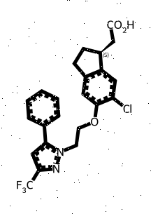 O=C(O)C[C@@H]1CCc2cc(OCCn3nc(C(F)(F)F)cc3-c3ccccc3)c(Cl)cc21